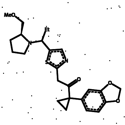 CCC(c1cnc(CC(=O)C2(c3ccc4c(c3)OCO4)CC2)s1)N1CCC[C@H]1COC